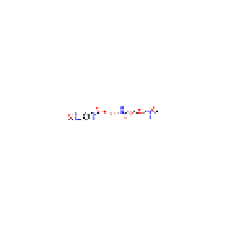 CCC(=O)NCCOCCOCC(=O)NCCOCCOCC(=O)NCc1ccc(CNCC(C)=O)cc1